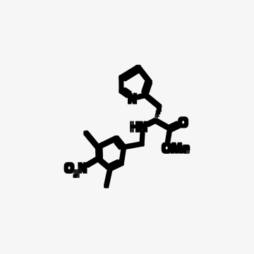 COC(=O)[C@@H](Cc1ccccn1)NCc1cc(C)c([N+](=O)[O-])c(C)c1